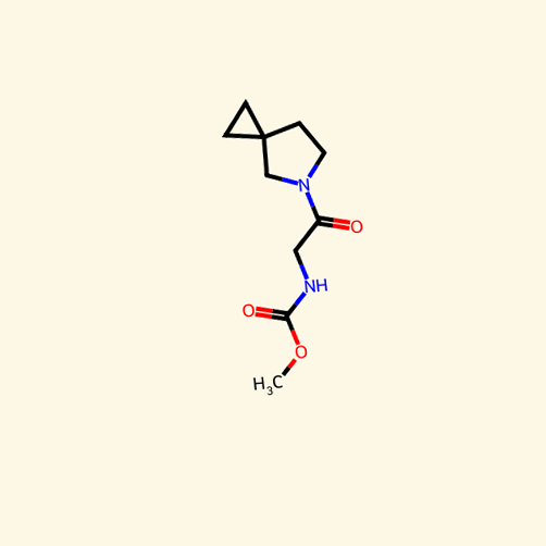 COC(=O)NCC(=O)N1CCC2(CC2)C1